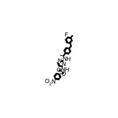 Cc1cc(Cc2ccc([C@H](C)Nc3nccc(NS(=O)(=O)c4ccc([N+](=O)[O-])cc4)n3)cc2)ccc1F